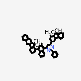 CC1(C)c2ccccc2-c2cc(-c3cc(-c4ccc(-c5cccc6c5C(C)(C)c5cc7ccccc7cc5-6)c5ccccc45)nc(-c4ccccc4)n3)ccc21